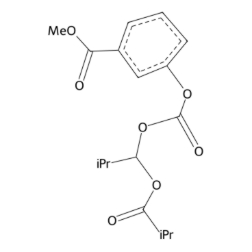 COC(=O)c1cccc(OC(=O)OC(OC(=O)C(C)C)C(C)C)c1